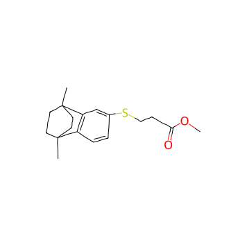 COC(=O)CCSc1ccc2c(c1)C1(C)CCC2(C)CC1